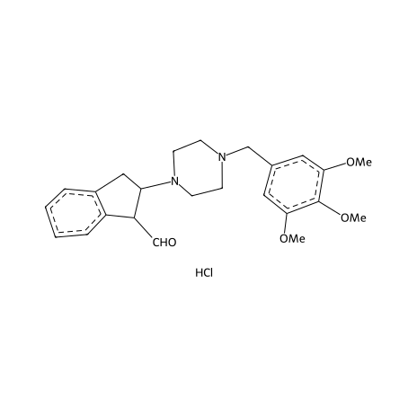 COc1cc(CN2CCN(C3Cc4ccccc4C3C=O)CC2)cc(OC)c1OC.Cl